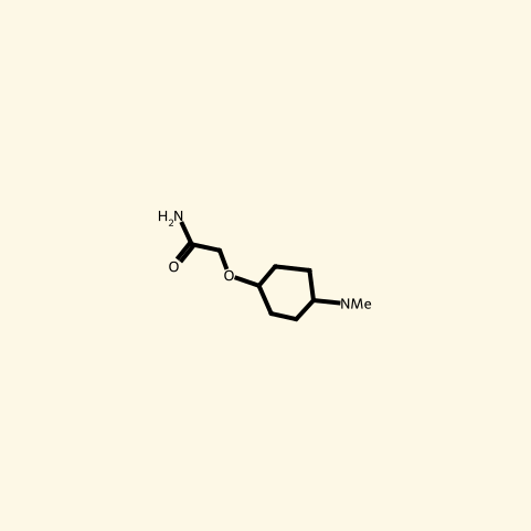 CNC1CCC(OCC(N)=O)CC1